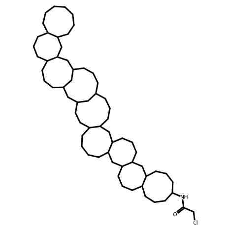 O=C(CCl)NC1CCCC2CCCC3CC4CCCCC5CCC6CC(CCCC7CC(CCCC8CCCC9CCCCCCCC9CC8C7)C6)CCCC5CC4CCCC3CC2CCC1